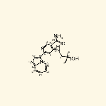 CC(C)(O)CNc1cc(-c2cnc3cccnn23)ncc1C(N)=O